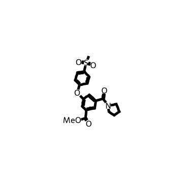 COC(=O)c1cc(Oc2ccc(S(C)(=O)=O)cc2)cc(C(=O)N2CCCC2)c1